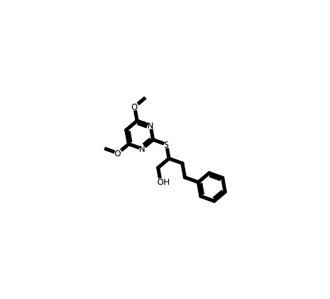 COc1cc(OC)nc(SC(CO)CCc2ccccc2)n1